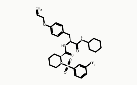 C=CCOc1ccc(C[C@H](NC(=O)[C@@H]2CCCCN2S(=O)(=O)c2cccc(C(F)(F)F)c2)C(=O)NC2CCCCC2)cc1